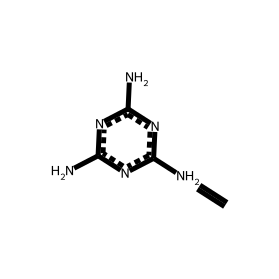 C=C.Nc1nc(N)nc(N)n1